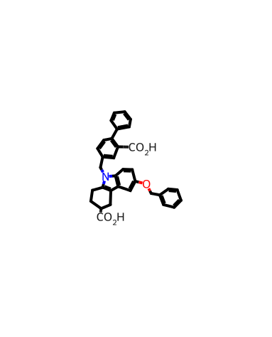 O=C(O)c1cc(Cn2c3c(c4cc(OCc5ccccc5)ccc42)CC(C(=O)O)CC3)ccc1-c1ccccc1